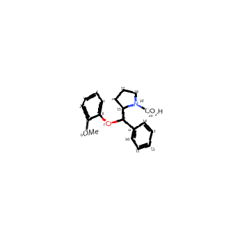 COc1ccccc1OC(c1ccccc1)C1CCCN1C(=O)O